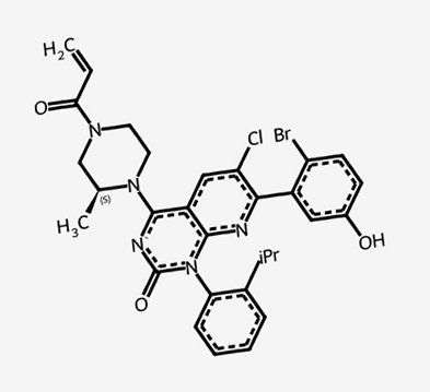 C=CC(=O)N1CCN(c2nc(=O)n(-c3ccccc3C(C)C)c3nc(-c4cc(O)ccc4Br)c(Cl)cc23)[C@@H](C)C1